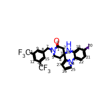 O=C1CC2(CCN1Cc1cc(C(F)(F)F)cc(C(F)(F)F)c1)Nc1cc(I)ccc1-n1cccc12